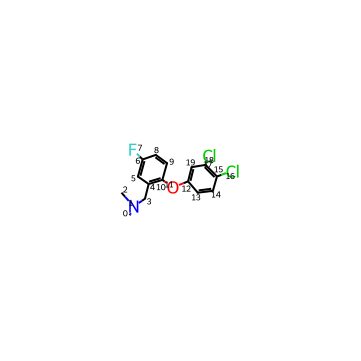 CN(C)Cc1cc(F)ccc1Oc1ccc(Cl)c(Cl)c1